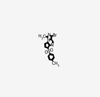 Cc1ccc(S(=O)(=O)C2C=Cc3c2ncc2c(Br)nc(C)n32)cc1